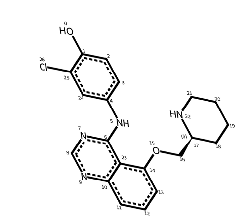 Oc1ccc(Nc2ncnc3cccc(OC[C@@H]4CCCCN4)c23)cc1Cl